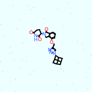 O=C1CCC(N2Cc3c(OCc4cn(C5C6CC7CC8CC5C786)nn4)cccc3C2=O)C(=O)N1